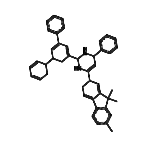 Cc1ccc2c(c1)C(C)(C)C1=CC(C3=CC(c4ccccc4)NC(C4=CC(c5ccccc5)=CC(C5C=CC=CC5)C4)N3)CC=C12